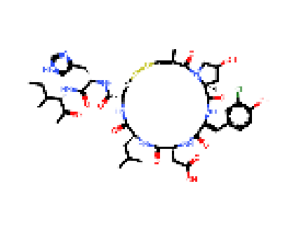 CCC(C)[C@H](NC(=O)[C@H](Cc1c[nH]cn1)NC(=O)[C@@H]1CSS/C=C(/C)C(=O)N2CC(O)C[C@H]2C(=O)N/C(=C\c2ccc(O)c(Cl)c2)C(=O)N[C@@H](CC(=O)O)C(=O)N[C@@H](CC(C)C)C(=O)N1)C(C)=O